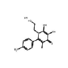 Cc1c(-c2ccc([N+](=O)[O-])cc2)n(CCO)c(O)c(O)c1=O.Cl